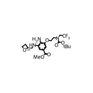 COC(=O)c1cc(NC[C@@H]2CCO2)c(N)c(OCCN(CC(F)(F)F)C(=O)OC(C)(C)C)c1